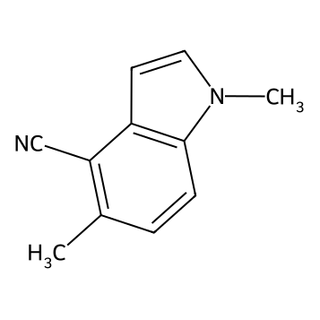 Cc1ccc2c(ccn2C)c1C#N